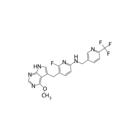 COc1ncnc2[nH]cc(Cc3ccc(NCc4ccc(C(F)(F)F)nc4)nc3F)c12